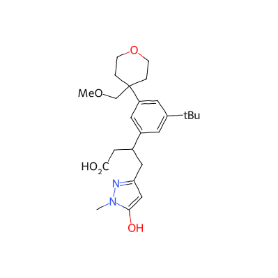 COCC1(c2cc(C(CC(=O)O)Cc3cc(O)n(C)n3)cc(C(C)(C)C)c2)CCOCC1